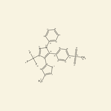 Cc1csc(-c2c(C(F)(F)F)nn(-c3ccccc3)c2-c2ccc(S(C)(=O)=O)cc2)c1